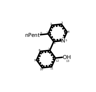 CCCCCc1cccnc1-c1ccccc1O